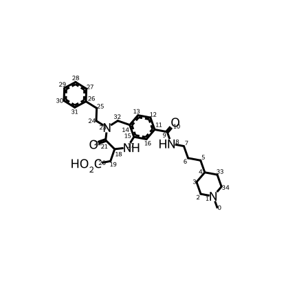 CN1CCC(CCCNC(=O)c2ccc3c(c2)NC(CC(=O)O)C(=O)N(CCc2ccccc2)C3)CC1